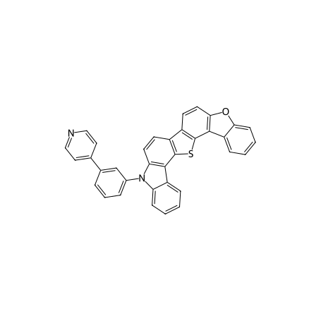 c1cc(-c2ccncc2)cc(-n2c3ccccc3c3c4sc5c(ccc6oc7ccccc7c65)c4ccc32)c1